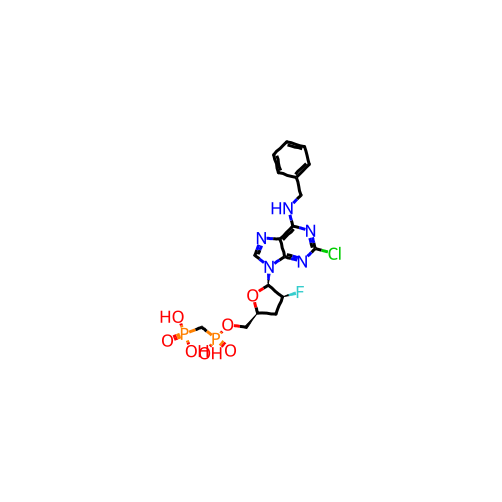 O=P(O)(O)CP(=O)(O)OC[C@@H]1C[C@H](F)[C@H](n2cnc3c(NCc4ccccc4)nc(Cl)nc32)O1